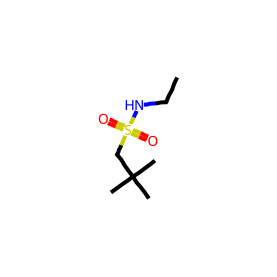 CCNS(=O)(=O)CC(C)(C)C